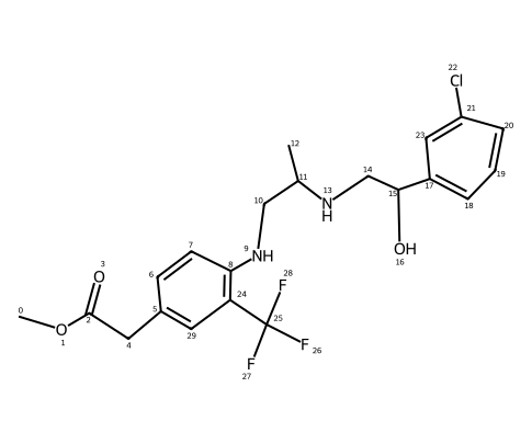 COC(=O)Cc1ccc(NCC(C)NCC(O)c2cccc(Cl)c2)c(C(F)(F)F)c1